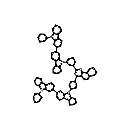 c1ccc(-n2c3ccccc3c3ccc(-c4ccc5c6ccccc6n(-c6ccc(-c7nc(-c8cccc(-n9c%10ccccc%10c%10ccc(-c%11ccc%12c%13ccccc%13n(-c%13ccccc%13)c%12c%11)cc%109)c8)nc8c7ccc7ccccc78)cc6)c5c4)cc32)cc1